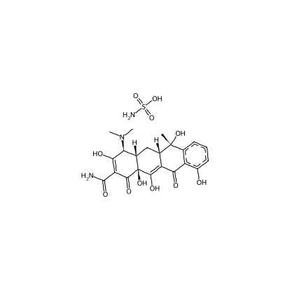 CN(C)[C@@H]1C(O)=C(C(N)=O)C(=O)[C@@]2(O)C(O)=C3C(=O)c4c(O)cccc4[C@@](C)(O)[C@H]3C[C@@H]12.NS(=O)(=O)O